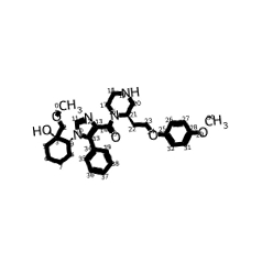 COC[C@]1(O)CCCC[C@H]1n1cnc(C(=O)N2CCNC[C@H]2CCOc2ccc(OC)cc2)c1-c1ccccc1